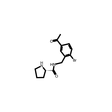 CC(=O)c1ccc(Br)c(CNC(=O)[C@@H]2CCCN2)c1